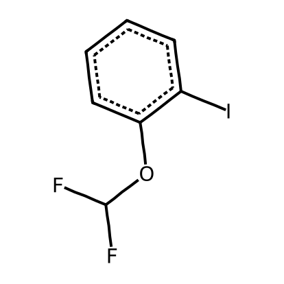 FC(F)Oc1ccccc1I